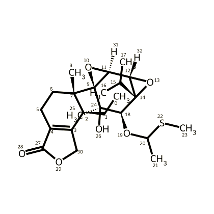 CC[C@H]1C2=C(CC[C@]1(C)[C@]13O[C@H]1[C@@H]1O[C@]1(C(C)C)[C@@H](OC(C)SC)[C@@]3(C)O)C(=O)OC2